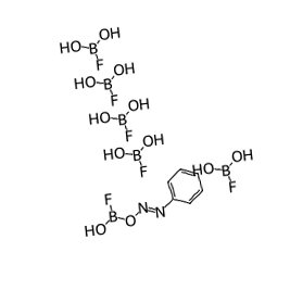 OB(F)ON=Nc1ccccc1.OB(O)F.OB(O)F.OB(O)F.OB(O)F.OB(O)F